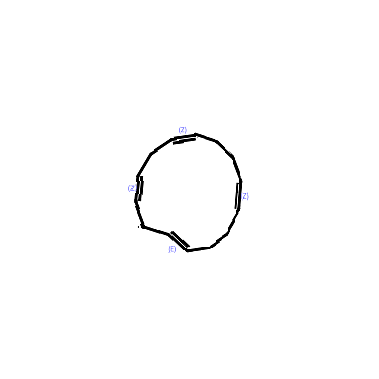 [CH]1/C=C\C/C=C\CC/C=C\CC/C=C/1